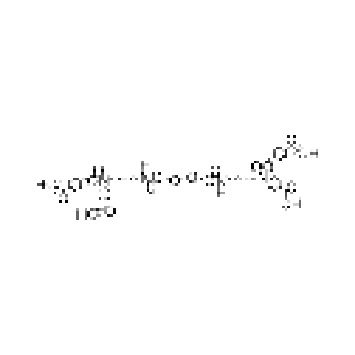 CC(C)(O)C(=O)c1ccc(COC(=O)N(CCCCCCNC(=O)OCCOCCOCCOC(=O)NCCCCCCN(C(=O)OCc2ccc(C(=O)C(C)(C)O)cc2)c2ccc(C(=O)C(C)(C)O)cc2)c2ccc(C(=O)C(C)(C)O)cc2)cc1